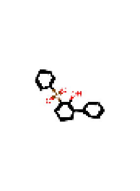 O=S(=O)(c1ccccc1)c1cccc(-c2ccccc2)c1O